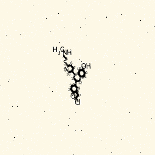 CNCCSc1ccc(CC=C(Cc2ccc(O)cc2)c2ccc3oc(Cl)cc3c2)cn1